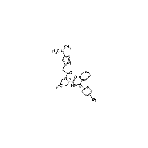 CC(C)c1ccc([C@@H](NC(=O)[C@@H]2C[C@@H](F)CN2C(=O)Cn2cc(N(C)C)nn2)c2ccccc2)nc1